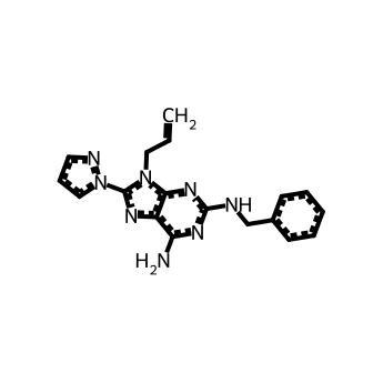 C=CCn1c(-n2cccn2)nc2c(N)nc(NCc3ccccc3)nc21